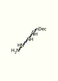 CCCCCCCCCCCCSNCCCNC/C=C/CNCCCN